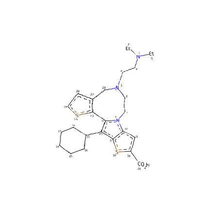 CCN(CC)CCN1CCn2c(c(C3CCCCC3)c3sc(C(=O)O)cc32)-c2sccc2C1